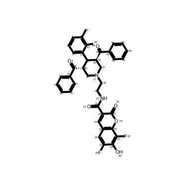 Cc1cccc(C2[C@@H](C(=O)c3ccccc3)CN(CCNC(=O)c3cc4cc(F)c(O)c(F)c4oc3=O)C[C@@H]2C(=O)c2ccccc2)c1C